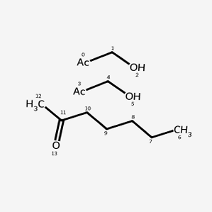 CC(=O)CO.CC(=O)CO.CCCCCC(C)=O